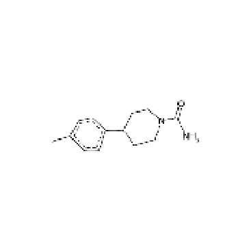 Cc1ccc(C2CCN(C(N)=O)CC2)cc1